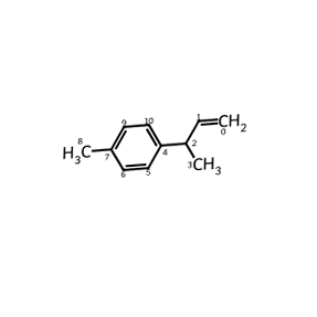 C=CC(C)c1ccc(C)cc1